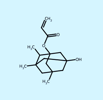 C=CC(=O)OC12CC3(C)CC(O)(CC(C)(C3)C1C)C2